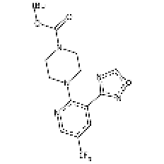 CC(C)(C)OC(=O)N1CCN(c2ncc(C(F)(F)F)cc2-c2ncon2)CC1